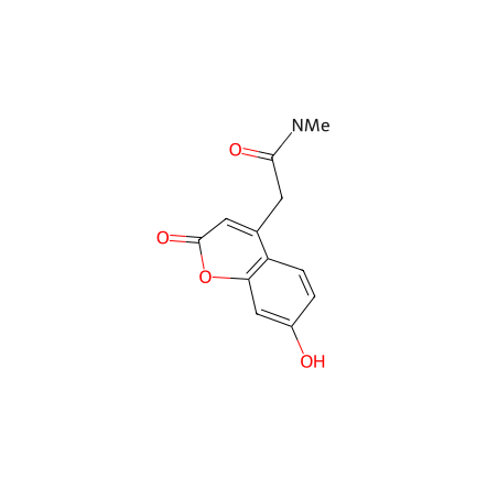 CNC(=O)Cc1cc(=O)oc2cc(O)ccc12